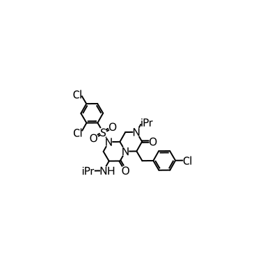 CC(C)NC1CN(S(=O)(=O)c2ccc(Cl)cc2Cl)C2CN(C(C)C)C(=O)C(Cc3ccc(Cl)cc3)N2C1=O